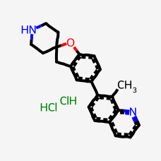 Cc1c(-c2ccc3c(c2)CC2(CCNCC2)O3)ccc2cccnc12.Cl.Cl